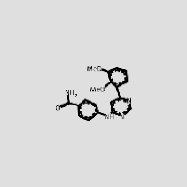 COc1cccc(-c2cc(Nc3ccc(C(N)=O)cc3)ncn2)c1OC